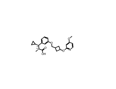 COc1ccnc(OC2CC(COc3cccc([C@H](C4CC4)[C@H](C)C(=O)O)c3)C2)c1